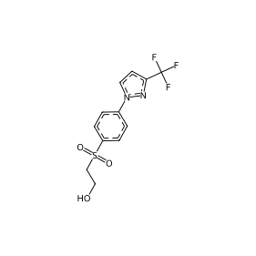 O=S(=O)(CCO)c1ccc(-n2ccc(C(F)(F)F)n2)cc1